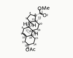 COC(=O)[C@H]1CC[C@H]2[C@@H]3CC=C4C[C@@H](OC(C)=O)CC[C@]4(C)[C@H]3CC[C@]12C